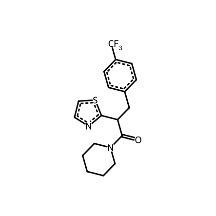 O=C(C(Cc1ccc(C(F)(F)F)cc1)c1nccs1)N1CCCCC1